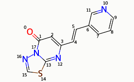 O=c1cc(/C=C/c2cccnc2)nc2scnn12